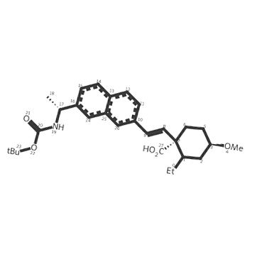 CCC1C[C@H](OC)CC[C@@]1(/C=C/c1ccc2ccc([C@@H](C)NC(=O)OC(C)(C)C)cc2c1)C(=O)O